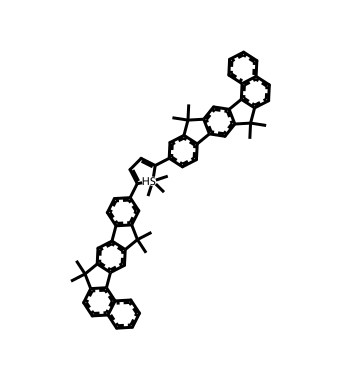 CC1(C)c2cc(C3=CC=C(c4ccc5c(c4)C(C)(C)c4cc6c(cc4-5)C(C)(C)c4ccc5ccccc5c4-6)[SH]3(C)(C)C)ccc2-c2cc3c(cc21)-c1c(ccc2ccccc12)C3(C)C